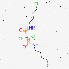 O=[PH](NCCCCCl)C(Cl)(Cl)[PH](=O)NCCCCCl